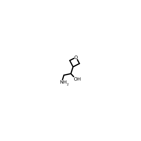 NCC(O)C1COC1